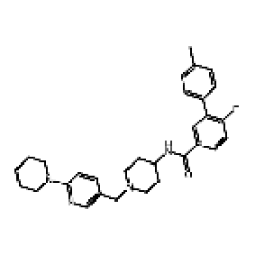 Cc1ccc(-c2cc(C(=O)NC3CCN(Cc4ccc(N5CCCCC5)nc4)CC3)ccc2F)cc1